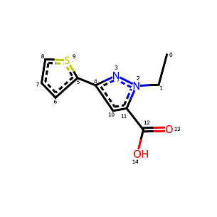 CCn1nc(-c2cccs2)cc1C(=O)O